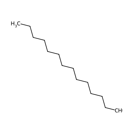 [CH]CCCCCCCCCCCCC